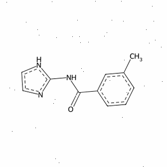 Cc1cccc(C(=O)Nc2ncc[nH]2)c1